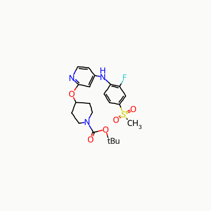 CC(C)(C)OC(=O)N1CCC(Oc2cc(Nc3ccc(S(C)(=O)=O)cc3F)ccn2)CC1